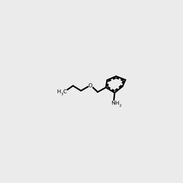 CCCOCc1ccccc1N